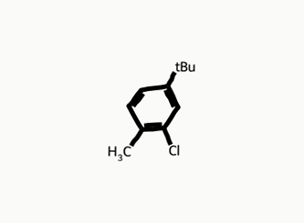 Cc1ccc(C(C)(C)C)cc1Cl